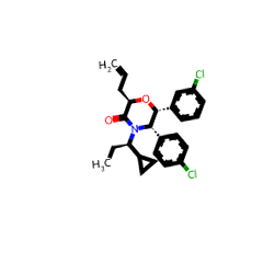 C=CC[C@H]1O[C@H](c2cccc(Cl)c2)[C@H](c2ccc(Cl)cc2)N([C@H](CC)C2CC2)C1=O